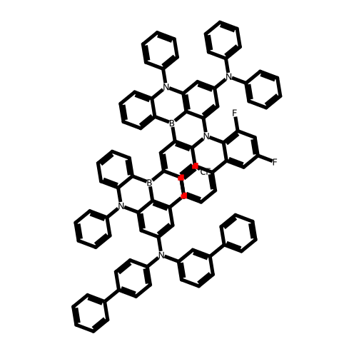 Fc1cc(F)c(N2c3cc(N(c4ccccc4)c4ccccc4)cc4c3B(c3ccccc3N4c3ccccc3)c3cc4c(c(C(F)(F)F)c32)Sc2cc(N(c3ccc(-c5ccccc5)cc3)c3cccc(-c5ccccc5)c3)cc3c2B4c2ccccc2N3c2ccccc2)c(-c2ccccc2)c1